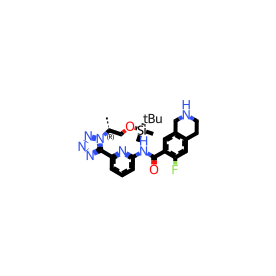 C[C@H](CO[Si](C)(C)C(C)(C)C)n1nnnc1-c1cccc(NC(=O)c2cc3c(cc2F)CCNC3)n1